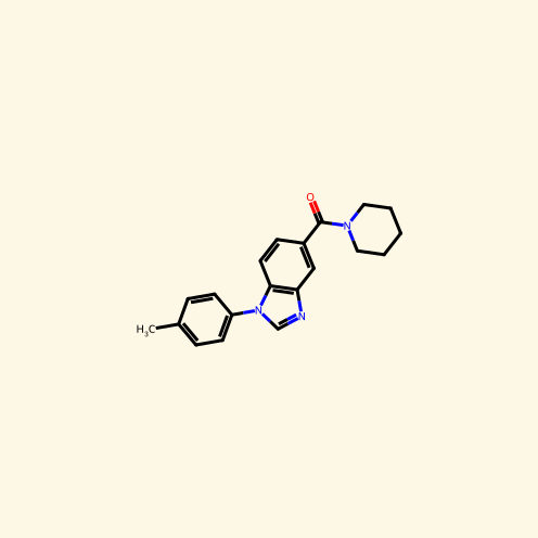 Cc1ccc(-n2cnc3cc(C(=O)N4CCCCC4)ccc32)cc1